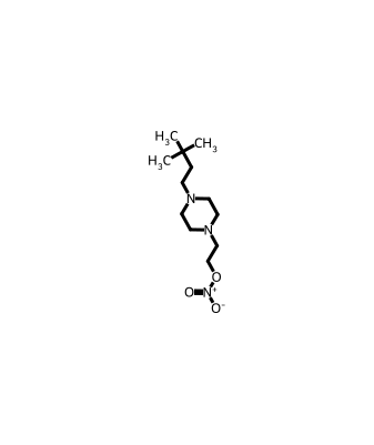 CC(C)(C)CCN1CCN(CCO[N+](=O)[O-])CC1